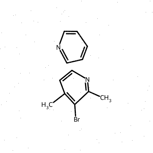 Cc1ccnc(C)c1Br.c1ccncc1